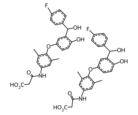 Cc1cc(NC(=O)CC(=O)O)cc(C)c1Oc1ccc(O)c(C(O)c2ccc(F)cc2)c1.Cc1cc(NC(=O)CC(=O)O)cc(C)c1Oc1ccc(O)c(C(O)c2ccc(F)cc2)c1